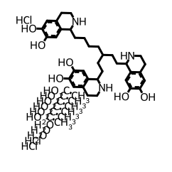 CC(=O)O.CC(=O)O.CC(=O)O.CC(=O)O.CC(=O)O.CC(=O)O.Cl.Cl.Cl.O.O.O.Oc1cc2c(cc1O)C(CCCCC(CCC1NCCc3cc(O)c(O)cc31)CCC1NCCc3cc(O)c(O)cc31)NCC2